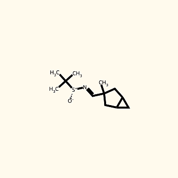 CC1(C=N[S@+]([O-])C(C)(C)C)CC2CC2C1